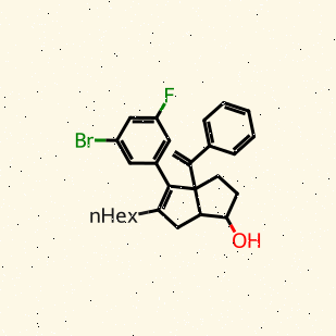 C=C(c1ccccc1)C12CCC(O)C1CC(CCCCCC)=C2c1cc(F)cc(Br)c1